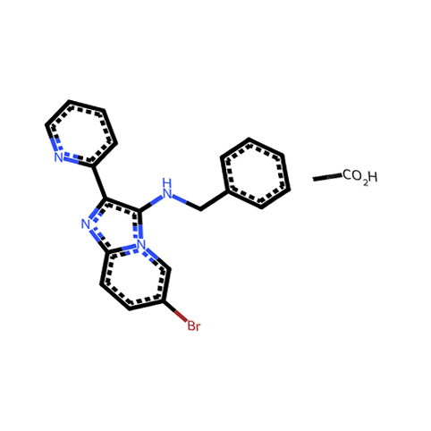 Brc1ccc2nc(-c3ccccn3)c(NCc3ccccc3)n2c1.CC(=O)O